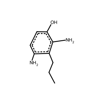 CCCc1c(N)ccc(O)c1N